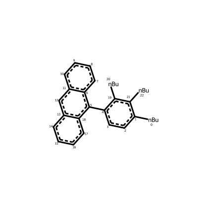 CCCCc1ccc(-c2c3ccccc3cc3ccccc23)c(CCCC)c1CCCC